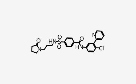 O=C(Nc1ccc(Cl)c(-c2ccccn2)c1)c1ccc(S(=O)(=O)NCCCN2CCCC2=O)cc1